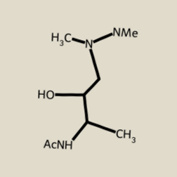 CNN(C)CC(O)C(C)NC(C)=O